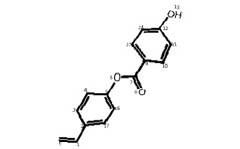 C=Cc1ccc(OC(=O)c2ccc(O)cc2)cc1